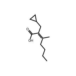 CCCC/C(C)=C(/CC1CC1)C(=O)O